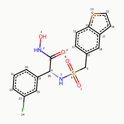 O=C(NO)[C@H](NS(=O)(=O)Cc1ccc2sccc2c1)c1cccc(F)c1